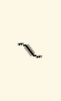 [N-]=[N+]=NCCC(F)(F)C(F)(F)C(F)(F)C(F)(F)C(F)(F)C(F)(F)CCN=[N+]=[N-]